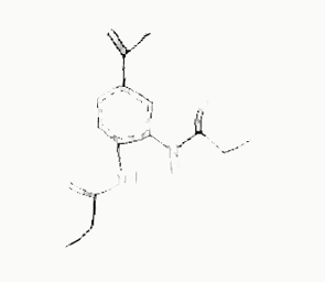 C=C(CC)Nc1ccc(C(=C)C)cc1NC(=O)CC